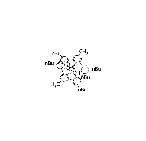 CCCCC1=CCCC(c2cc(C)cc(-c3cc(CCCC)ccc3O)c2OC2(Oc3c(C4=CC(CCCC)=C[C@@H](CCCC)C4)cc(C)cc3-c3cc(CCCC)ccc3O)CCCCC2)=C1